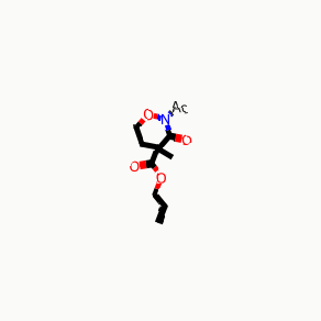 C=CCOC(=O)C1(C)CCON(C(C)=O)C1=O